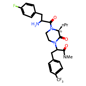 CCC[C@H]1C(=O)N(C(Cc2ccc(C(F)(F)F)cc2)C(=O)NC)CCN1C(=O)C(N)Cc1ccc(F)cc1